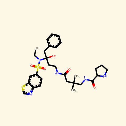 CC(C)CN(C(O)(CCNC(=O)CC(C)(C)CNC(=O)C1CCCN1)Cc1ccccc1)S(=O)(=O)c1ccc2ncsc2c1